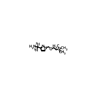 [2H]C([2H])(N)c1ccn(COCC[Si](C)(C)C)n1